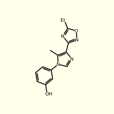 CCc1nc(-c2ncn(-c3cccc(O)c3)c2C)no1